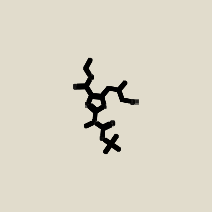 CCOC(=O)c1nc(N(C)C(=O)OC(C)(C)C)sc1CC(C)CO